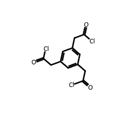 O=C(Cl)Cc1cc(CC(=O)Cl)cc(CC(=O)Cl)c1